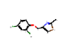 Cc1nc(COc2ccc(F)cc2F)cs1